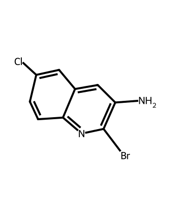 Nc1cc2cc(Cl)ccc2nc1Br